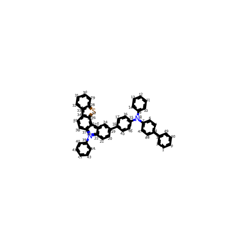 c1ccc(-c2ccc(N(c3ccccc3)c3ccc(-c4ccc5c(c4)c4c6sc7ccccc7c6ccc4n5-c4ccccc4)cc3)cc2)cc1